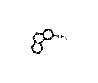 Cc1ccc2ccc3ccc[c]c3c2c1